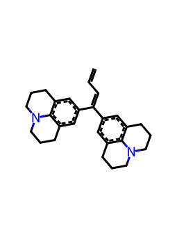 C=CC=C(c1cc2c3c(c1)CCCN3CCC2)c1cc2c3c(c1)CCCN3CCC2